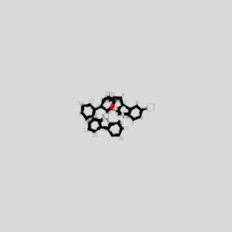 Clc1ccc2c(c1)c1ccccc1n2-c1cccc2c3ccccc3n(-c3ccccc3-c3ccccc3)c12